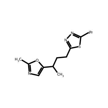 Cc1ncc(C(C)CCc2nnc(C(C)C)s2)o1